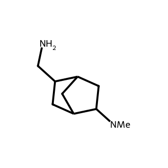 CNC1CC2CC1CC2CN